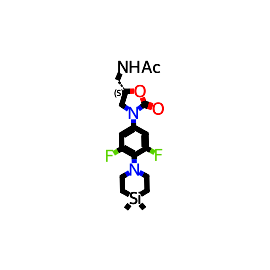 CC(=O)NC[C@H]1CN(c2cc(F)c(N3CC[Si](C)(C)CC3)c(F)c2)C(=O)O1